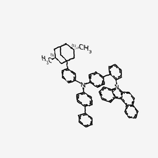 C[C@H]1CC2C[C@H](C)CC(c3cccc(N(c4ccc(-c5ccccc5)cc4)c4ccc(-c5ccccc5-n5c6ccccc6c6c7ccccc7ccc65)cc4)c3)(C2)C1